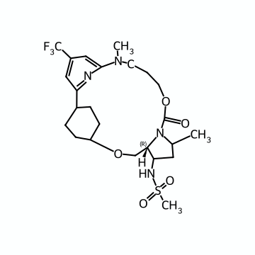 CC1CC(NS(C)(=O)=O)[C@@H]2COC3CCC(CC3)c3cc(C(F)(F)F)cc(n3)N(C)CCCOC(=O)N12